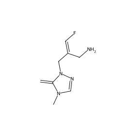 C=C1N(C)C=NN1C/C(=C/F)CN